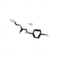 CCOC(=O)CNc1ccc(N)cc1.Cl